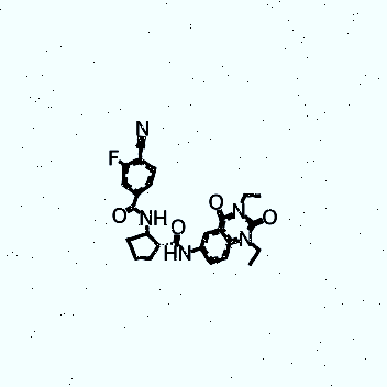 CCn1c(=O)c2cc(NC(=O)[C@@H]3CCCC3NC(=O)c3ccc(C#N)c(F)c3)ccc2n(CC)c1=O